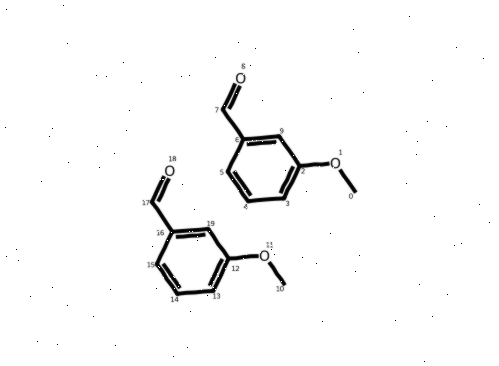 COc1cccc(C=O)c1.COc1cccc(C=O)c1